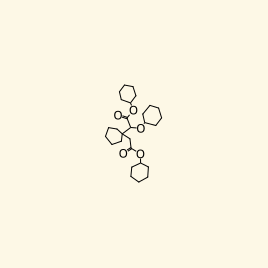 O=C(CC1(C(OC2CCCCC2)C(=O)OC2CCCCC2)CCCCC1)OC1CCCCC1